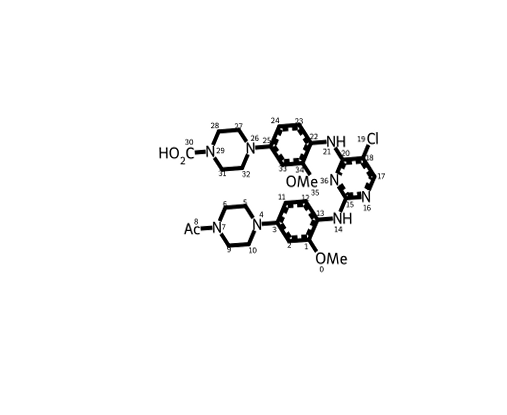 COc1cc(N2CCN(C(C)=O)CC2)ccc1Nc1ncc(Cl)c(Nc2ccc(N3CCN(C(=O)O)CC3)cc2OC)n1